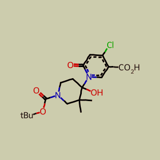 CC(C)(C)OC(=O)N1CCC(O)(n2cc(C(=O)O)c(Cl)cc2=O)C(C)(C)C1